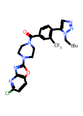 CC(C)(C)Cn1nncc1-c1ccc(C(=O)N2CCN(c3nc4nc(Cl)ccc4o3)CC2)cc1C(F)(F)F